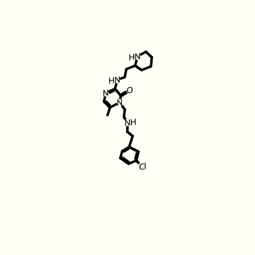 Cc1cnc(NCCC2CCCCN2)c(=O)n1CCNCCc1cccc(Cl)c1